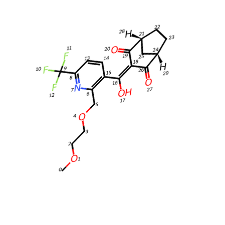 COCCOCc1nc(C(F)(F)F)ccc1/C(O)=C1\C(=O)[C@@H]2CC[C@@H](C2)C1=O